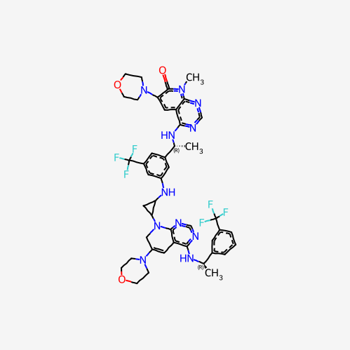 C[C@@H](Nc1ncnc2c1C=C(N1CCOCC1)CN2C1CC1Nc1cc([C@@H](C)Nc2ncnc3c2cc(N2CCOCC2)c(=O)n3C)cc(C(F)(F)F)c1)c1cccc(C(F)(F)F)c1